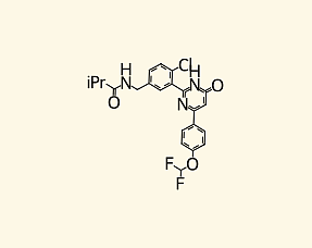 CC(C)C(=O)NCc1ccc(Cl)c(-c2nc(-c3ccc(OC(F)F)cc3)cc(=O)[nH]2)c1